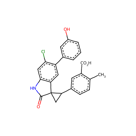 Cc1ccc(C2CC23C(=O)Nc2cc(Cl)c(-c4cccc(O)c4)cc23)cc1C(=O)O